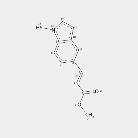 COC(=O)/C=C/c1ccc2c(ccn2S)c1